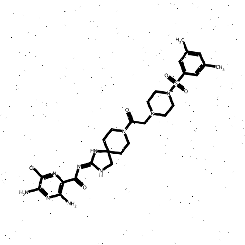 Cc1cc(C)cc(S(=O)(=O)N2CCN(CC(=O)N3CCC4(CC3)CN/C(=N\C(=O)c3nc(Cl)c(N)nc3N)N4)CC2)c1